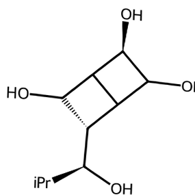 CC(C)[C@H](O)[C@@H]1C(O)C2C1C(O)[C@@H]2O